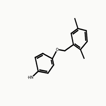 Cc1ccc(C)c(COc2ccc([NH])cc2)c1